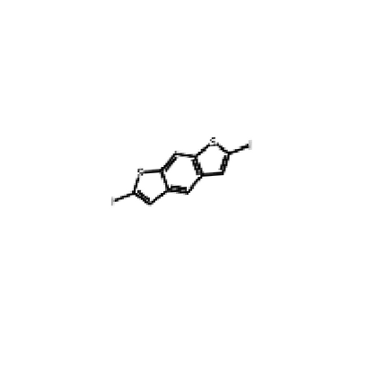 Ic1cc2cc3cc(I)sc3cc2s1